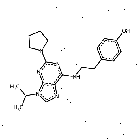 CC(C)n1cnc2c(NCCc3ccc(O)cc3)nc(N3CCCC3)nc21